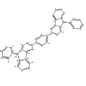 c1ccc(-n2c3ccccc3c3cc(-c4ccc(-c5ccc6c(c5)c5ccccc5n6-c5ncccn5)cc4)ccc32)cc1